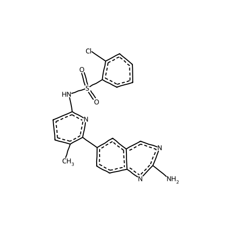 Cc1ccc(NS(=O)(=O)c2ccccc2Cl)nc1-c1ccc2nc(N)ncc2c1